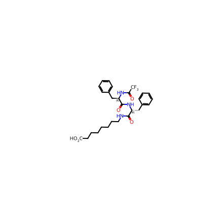 O=C(O)CCCCCCCNC(=O)[C@@H](Cc1ccccc1)NC(=O)[C@@H](Cc1ccccc1)NC(=O)C(F)(F)F